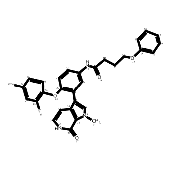 Cn1cc(-c2cc(NC(=O)CCCOc3ccccc3)ccc2Oc2ccc(F)cc2F)c2cc[nH]c(=O)c21